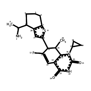 CC(N)C1CCCc2sc(C3C(F)=Cc4c(n(C5CC5)c(=O)[nH]c4=O)C3C)cc21